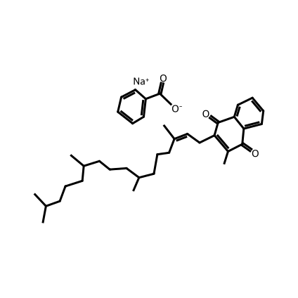 CC(=CCC1=C(C)C(=O)c2ccccc2C1=O)CCCC(C)CCCC(C)CCCC(C)C.O=C([O-])c1ccccc1.[Na+]